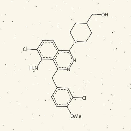 COc1ccc(Cc2nnc(N3CCC(CO)CC3)c3ccc(Cl)c(N)c23)cc1Cl